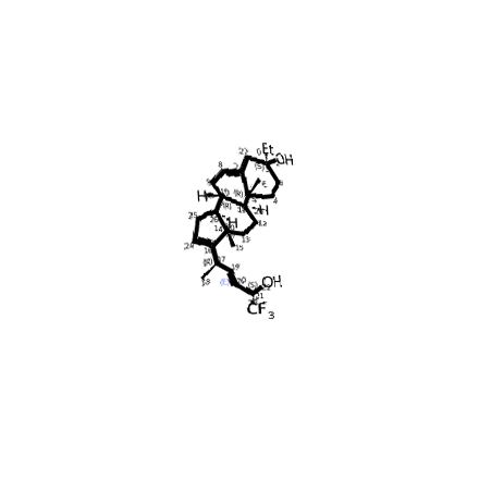 CC[C@]1(O)CC[C@@]2(C)C(=CC[C@@H]3[C@@H]2CC[C@]2(C)C([C@H](C)/C=C/[C@H](O)C(F)(F)F)=CC[C@@H]32)C1